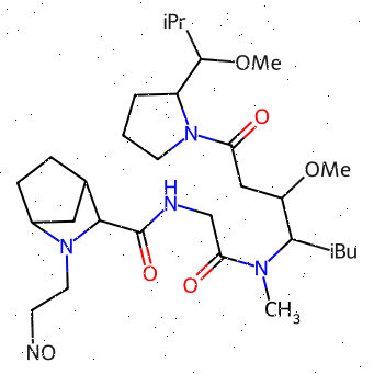 CCC(C)C(C(CC(=O)N1CCCC1C(OC)C(C)C)OC)N(C)C(=O)CNC(=O)C1C2CCC(C2)N1CCN=O